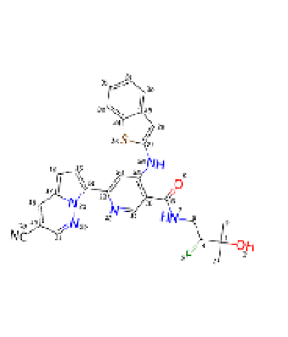 CC(C)(O)[C@H](F)CNC(=O)c1cnc(-c2ccc3cc(C#N)cnn23)cc1Nc1cc2ccccc2s1